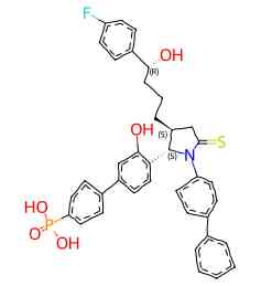 O=P(O)(O)c1ccc(-c2ccc([C@@H]3[C@@H](CCC[C@@H](O)c4ccc(F)cc4)CC(=S)N3c3ccc(-c4ccccc4)cc3)c(O)c2)cc1